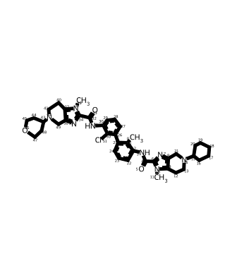 Cc1c(NC(=O)c2nc3c(n2C)CCN(C2CCCCC2)C3)cccc1-c1cccc(NC(=O)c2nc3c(n2C)CCN(C2CCOCC2)C3)c1Cl